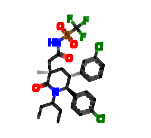 CCC(CC)N1C(=O)[C@@](C)(CC(=O)NS(=O)(=O)C(F)(F)F)C[C@H](c2cccc(Cl)c2)[C@H]1c1ccc(Cl)cc1